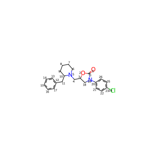 O=C1OC(CN2CCCCC2Cc2ccccc2)CN1c1ccc(Cl)cc1